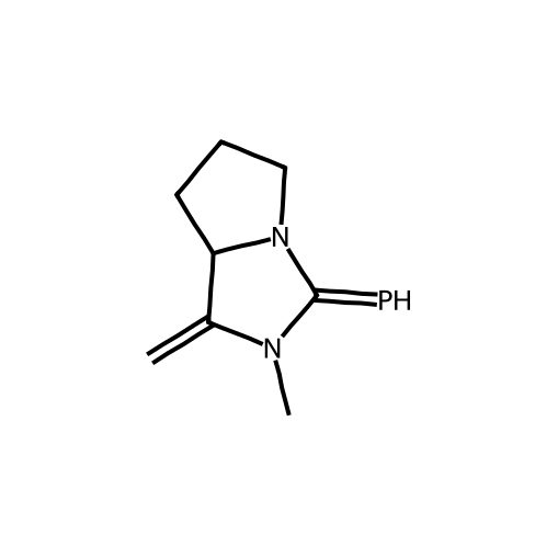 C=C1C2CCCN2C(=P)N1C